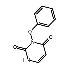 O=c1cc[nH]c(=O)n1Oc1ccccc1